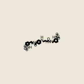 CS(=O)(=O)Nc1cccc(C=NNC(=O)CCCNc2ccc(C(=O)NN=Cc3cccc(NS(C)(=O)=O)c3)cc2)c1